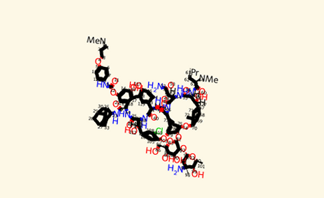 CNCCCOc1ccc(NC(=O)Oc2cc(O)c3c(c2)[C@@H](C(=O)NC2C4CC5CC(C4)CC2C5)NC(=O)[C@H]2NC(=O)[C@H](NC(=O)[C@@H]4NC(=O)[C@H](CC(N)=O)NC(=O)[C@H](NC(=O)[C@@H](CC(C)C)NC)[C@H](O)c5ccc(c(C)c5)Oc5cc4cc(c5O[C@@H]4O[C@H](CO)[C@@H](O)[C@H](O)[C@H]4O[C@H]4C[C@](C)(N)[C@H](O)[C@H](C)O4)Oc4ccc(cc4Cl)[C@H]2O)c2ccc(O)c-3c2)cc1